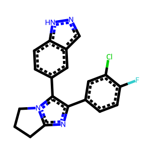 Fc1ccc(-c2nc3n(c2-c2ccc4[nH]ncc4c2)CCC3)cc1Cl